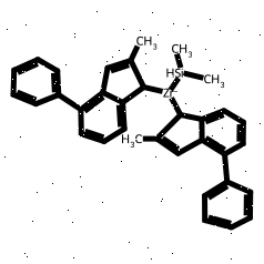 CC1=Cc2c(-c3ccccc3)cccc2[CH]1[Zr-]([CH]1C(C)=Cc2c(-c3ccccc3)cccc21)[SiH](C)C